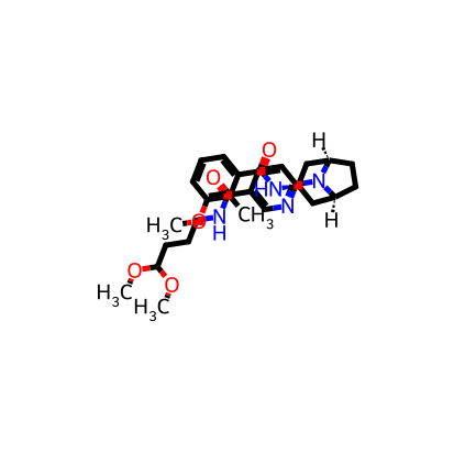 COc1cccc(C(=O)N[C@H]2C[C@H]3CC[C@@H](C2)N3c2ccc(C(=O)NCCCC(OC)OC)cn2)c1C